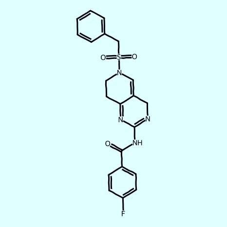 O=C(NC1=NCC2=CN(S(=O)(=O)Cc3ccccc3)CCC2=N1)c1ccc(F)cc1